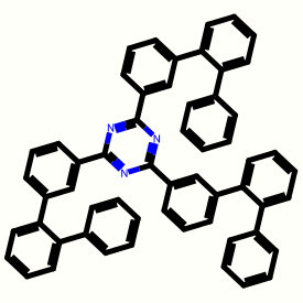 c1ccc(-c2ccccc2-c2cccc(-c3nc(-c4cccc(-c5ccccc5-c5ccccc5)c4)nc(-c4cccc(-c5ccccc5-c5ccccc5)c4)n3)c2)cc1